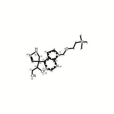 C[Si](C)(C)CCOCn1ccc2c(C3(C(CC#N)C(F)(F)F)C=NNC3)ncnc21